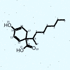 CCCCCCC(C)C1(C(=O)O)C=CC(O)=CC1